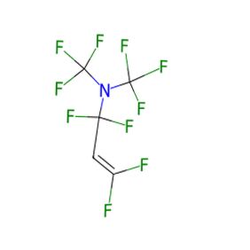 FC(F)=CC(F)(F)N(C(F)(F)F)C(F)(F)F